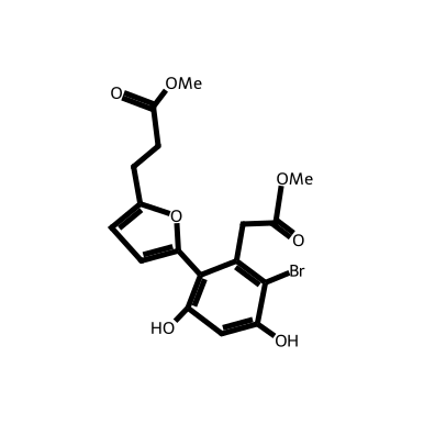 COC(=O)CCc1ccc(-c2c(O)cc(O)c(Br)c2CC(=O)OC)o1